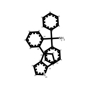 NC(c1ccccc1)(c1ccccc1)c1ccccc1C1CCc2sccc21